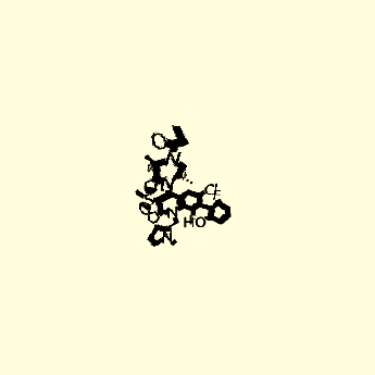 C=CC(=O)N1C[C@H](C)N(c2c(S(C)(=O)=O)c(=O)n(C[C@@H]3CCCN3C)c3c(F)c(-c4c(O)cccc4F)c(Cl)cc23)C[C@H]1C